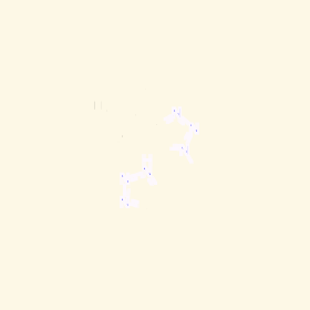 CC(Cn1cc(C(C)(C)C)nn1)c1cnn[nH]1